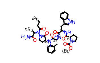 CCCCC(C(N)=O)N(C(=O)CCC(C)C)N1CC[C@@H](NC(=O)[C@@H](Cc2ccccc2)NC(=O)[C@@H](Cc2c[nH]c3ccccc23)NC(=O)[C@H]2CCCN2C(=O)OC(C)(C)C)C1=O